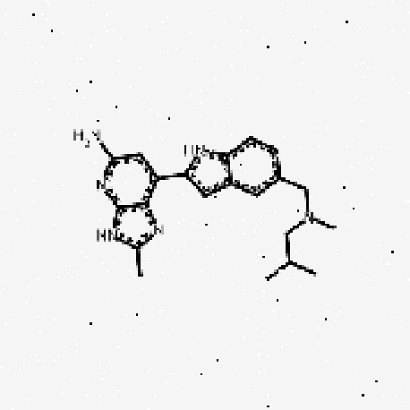 Cc1nc2c(-c3cc4cc(CN(C)CC(C)C)ccc4[nH]3)cc(N)nc2[nH]1